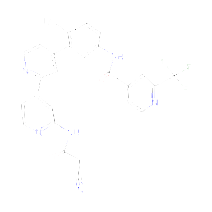 Cc1ccc(NC(=O)c2ccnc(C(F)(F)F)c2)cc1-c1ccnc(-c2ccnc(NC(=O)CC#N)c2)c1